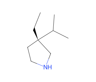 CC[C@]1(C(C)C)CCNC1